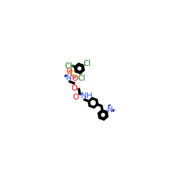 CN(C)c1ccccc1CC1CCC(CNC(=O)COCCN(C)S(=O)(=O)c2c(Cl)cc(Cl)cc2Cl)CC1